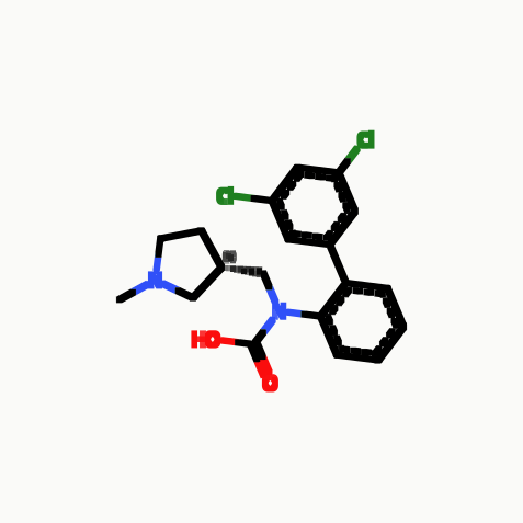 CN1CC[C@H](CN(C(=O)O)c2ccccc2-c2cc(Cl)cc(Cl)c2)C1